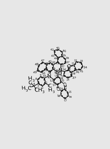 Cc1cc(C(C)(C)C)ccc1N1c2cc3c(cc2Bc2c(-c4c(Nc5cccc6c5oc5ccccc56)ccc5ccccc45)cc4ccccc4c21)Oc1ccccc1O3